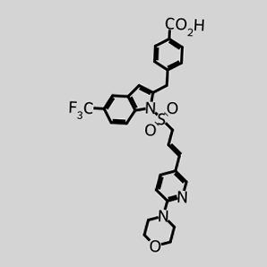 O=C(O)c1ccc(Cc2cc3cc(C(F)(F)F)ccc3n2S(=O)(=O)CC=Cc2ccc(N3CCOCC3)nc2)cc1